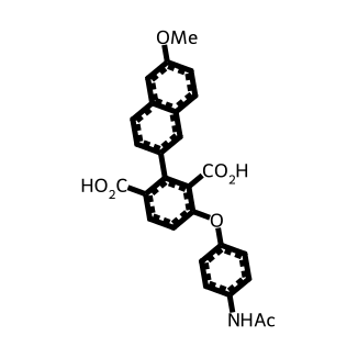 COc1ccc2cc(-c3c(C(=O)O)ccc(Oc4ccc(NC(C)=O)cc4)c3C(=O)O)ccc2c1